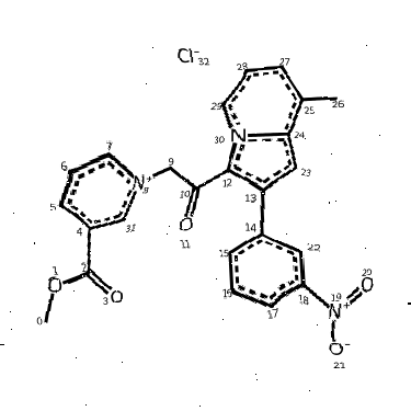 COC(=O)c1ccc[n+](CC(=O)c2c(-c3cccc([N+](=O)[O-])c3)cc3c(C)cccn23)c1.[Cl-]